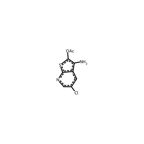 CC(=O)Oc1sc2ncc(Cl)cc2c1N